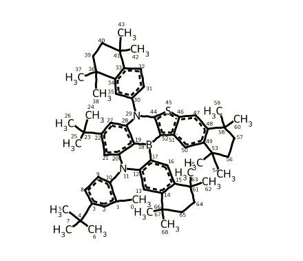 Cc1cc(C(C)(C)C)ccc1N1c2cc3c(cc2B2c4c1cc(C(C)(C)C)cc4N(c1ccc4c(c1)C(C)(C)CCC4(C)C)c1sc4cc5c(cc4c12)C(C)(C)CCC5(C)C)C(C)(C)CCC3(C)C